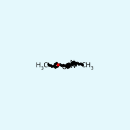 CCCCCc1cnc(-c2ccc(OCCCC3CCC(CCCCC)CC3)cc2)nc1